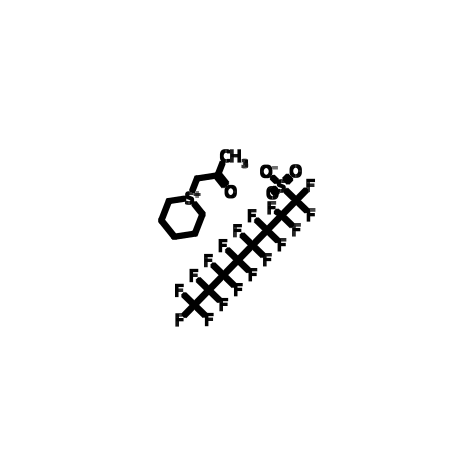 CC(=O)C[S+]1CCCCC1.O=S(=O)([O-])C(F)(F)C(F)(F)C(F)(F)C(F)(F)C(F)(F)C(F)(F)C(F)(F)C(F)(F)F